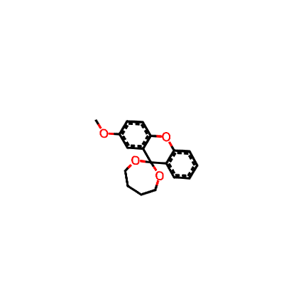 COc1ccc2c(c1)C1(OCCCCO1)c1ccccc1O2